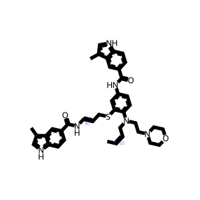 C/C=C\CN(CCN1CCOCC1)c1ccc(NC(=O)c2ccc3[nH]cc(C)c3c2)cc1SC/C=C/NC(=O)c1ccc2[nH]cc(C)c2c1